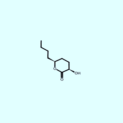 CCCC[C@H]1CC[C@@H](O)C(=O)O1